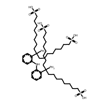 O=S(=O)(O)CCCCCCCCC(P)(CCCCCCCCS(=O)(=O)O)c1ccccc1Nc1ccccc1C(P)(CCCCCCCCS(=O)(=O)O)CCCCCCCCS(=O)(=O)O